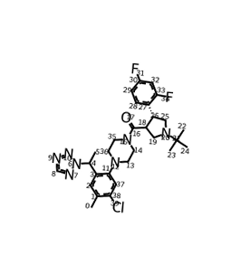 Cc1cc(C(C)n2ncnn2)c(N2CCN(C(=O)C3CN(C(C)(C)C)C[C@H]3c3ccc(F)cc3F)CC2)cc1Cl